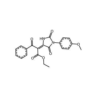 CCOC(=O)C(C(=O)c1ccccc1)=C1NC(=O)N(c2ccc(OC)cc2)C1=O